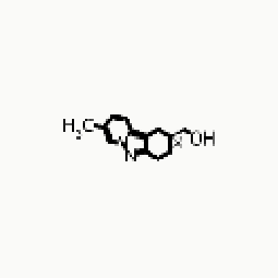 Cc1ccc2c3c(nn2c1)CC[C@H](CO)C3